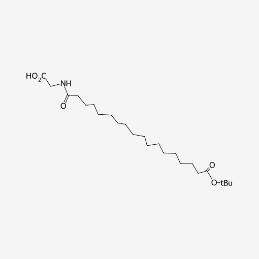 CC(C)(C)OC(=O)CCCCCCCCCCCCCCCCC(=O)NCC(=O)O